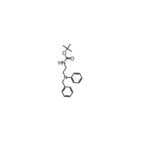 CC(C)(C)OC(=O)NCCN(Cc1ccccc1)c1ccccc1